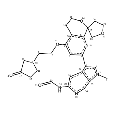 Cn1cc(-c2cc(OCCN3CCC(=O)C3)c3c(n2)C2(CCOC2)OCC3)c2cc(NC=O)ncc21